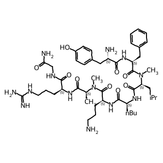 CCCC[C@H](NC(=O)[C@H](CC(C)C)N(C)C(=O)[C@H](Cc1ccccc1)NC(=O)[C@@H](N)Cc1ccc(O)cc1)C(=O)N[C@@H](CCCN)C(=O)N(C)[C@@H](C)C(=O)N[C@@H](CCCNC(=N)N)C(=O)NCC(N)=O